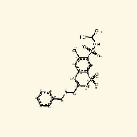 CC(C)NS(=O)(=O)c1cc2c(cc1Cl)N=C(CSCc1ccccc1)NS2(=O)=O